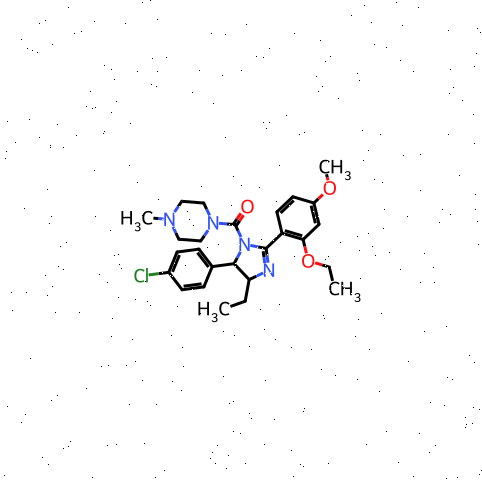 CCOc1cc(OC)ccc1C1=NC(CC)C(c2ccc(Cl)cc2)N1C(=O)N1CCN(C)CC1